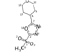 CS(=O)(=O)c1nnc(C2CCOCC2)o1